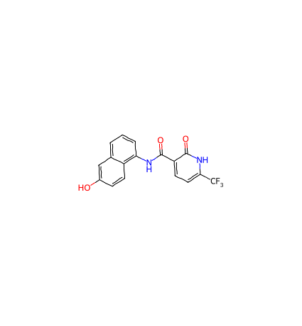 O=C(Nc1cccc2cc(O)ccc12)c1ccc(C(F)(F)F)[nH]c1=O